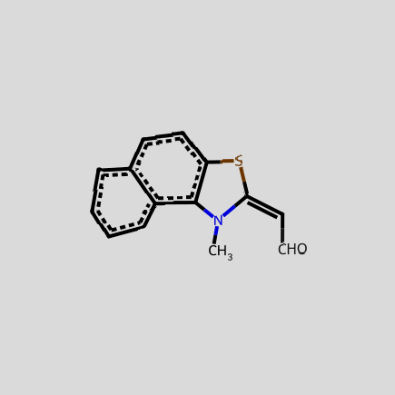 CN1C(=CC=O)Sc2ccc3ccccc3c21